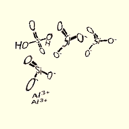 O=S(=O)(O)O.O=[Si]([O-])[O-].O=[Si]([O-])[O-].O=[Si]([O-])[O-].[Al+3].[Al+3]